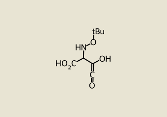 CC(C)(C)ONC(C(=O)O)C(O)=C=O